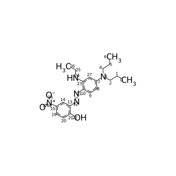 CCCN(CCC)c1ccc(N=Nc2cc([N+](=O)[O-])ccc2O)c(NCC)c1